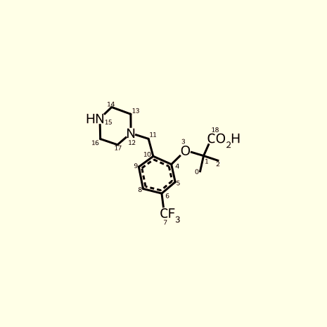 CC(C)(Oc1cc(C(F)(F)F)ccc1CN1CCNCC1)C(=O)O